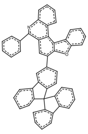 c1ccc(-c2nc3ccccc3c3c2cc(-c2ccc4c(c2)-c2ccccc2C42c4ccccc4-c4ccccc42)c2oc4ccccc4c23)cc1